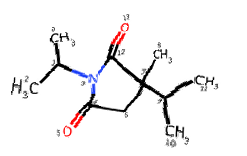 CC(C)N1C(=O)CC(C)(C(C)C)C1=O